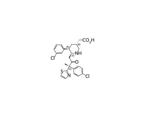 C[C@@](C(=O)C[C@@H]1NC[C@@H](CC(=O)O)C[C@@H]1c1cccc(Cl)c1)(c1ccc(Cl)cc1)c1nccs1